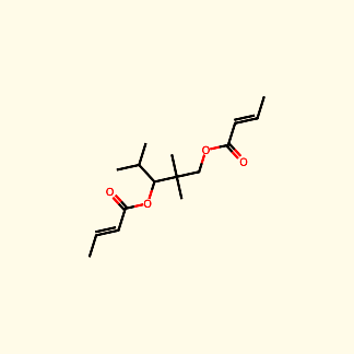 C/C=C/C(=O)OCC(C)(C)C(OC(=O)/C=C/C)C(C)C